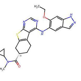 CCOc1cc2[nH]ncc2cc1Nc1ncnc2sc3c(c12)CC[C@H](C(=O)N(C)C1CC1)C3